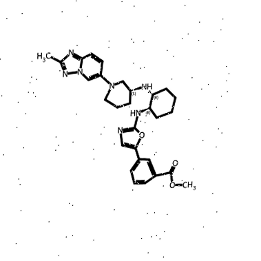 COC(=O)c1cccc(-c2cnc(N[C@@H]3CCCC[C@H]3N[C@H]3CCCN(c4ccc5nc(C)nn5c4)C3)o2)c1